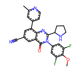 COc1c(F)cc(-n2c(C3CCCN3)nc3c(-c4ccnc(C)c4)cc(C#N)cc3c2=O)cc1F